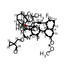 COCOc1cc(-c2ncc3c(N4CC5CCC(C4)N5C(=O)O)nc(OCC4(C=O)CC4)nc3c2F)c2c(C#C[Si](C(C)C)(C(C)C)C(C)C)c(F)ccc2c1